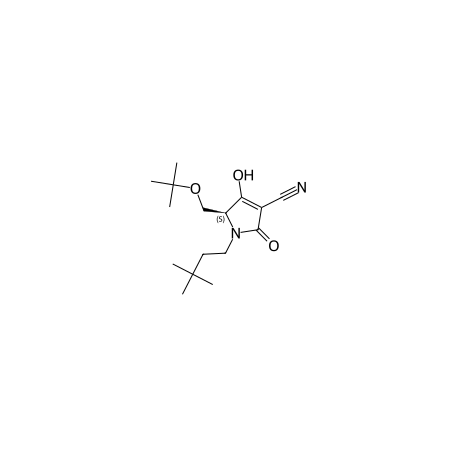 CC(C)(C)CCN1C(=O)C(C#N)=C(O)[C@@H]1COC(C)(C)C